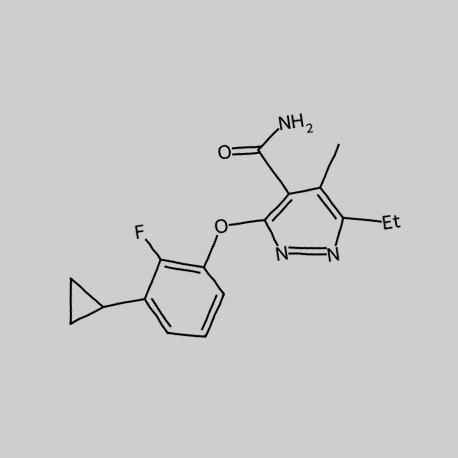 CCc1nnc(Oc2cccc(C3CC3)c2F)c(C(N)=O)c1C